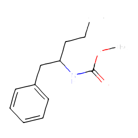 CC(C)(C)OC(=O)NC(CCC=O)Cc1ccccc1